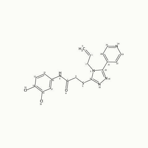 C=CCn1c(SCC(=O)Nc2ccc(Cl)c(Cl)c2)nnc1-c1ccncc1